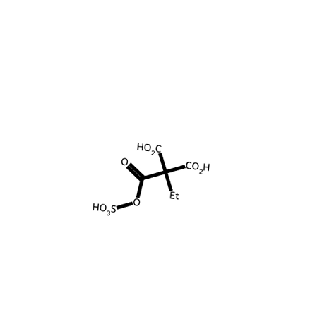 CCC(C(=O)O)(C(=O)O)C(=O)OS(=O)(=O)O